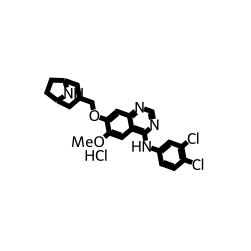 COc1cc2c(Nc3ccc(Cl)c(Cl)c3)ncnc2cc1OCC1CC2CCC(C1)N2.Cl